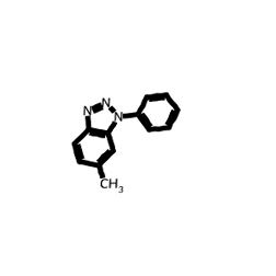 Cc1ccc2nnn(-c3ccccc3)c2c1